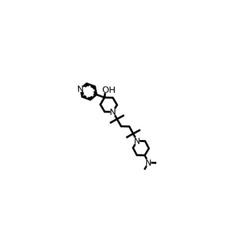 CN(C)C1CCN(C(C)(C)CCC(C)(C)N2CCC(O)(c3ccncc3)CC2)CC1